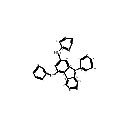 c1ccc(Nc2cc(Oc3ccccc3)c3c4ccccc4n(-c4ccccc4)c3c2)cc1